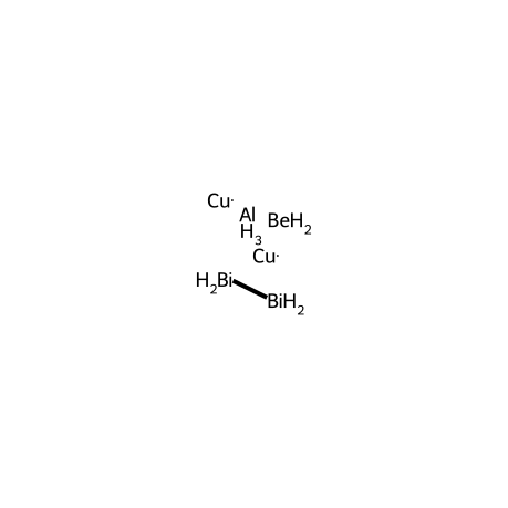 [AlH3].[BeH2].[BiH2][BiH2].[Cu].[Cu]